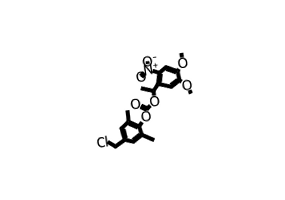 COc1cc(C(C)OC(=O)Oc2c(C)cc(CCl)cc2C)c([N+](=O)[O-])cc1OC